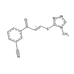 Cn1cnnc1S/C=C/C(=O)c1cccc(C#N)c1